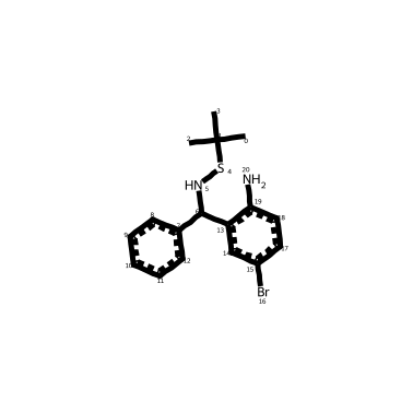 CC(C)(C)SNC(c1ccccc1)c1cc(Br)ccc1N